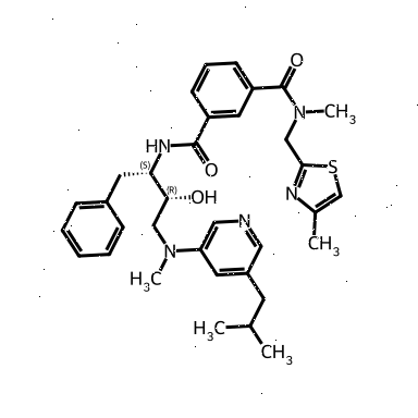 Cc1csc(CN(C)C(=O)c2cccc(C(=O)N[C@@H](Cc3ccccc3)[C@H](O)CN(C)c3cncc(CC(C)C)c3)c2)n1